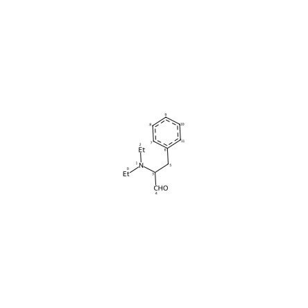 CCN(CC)C(C=O)Cc1ccccc1